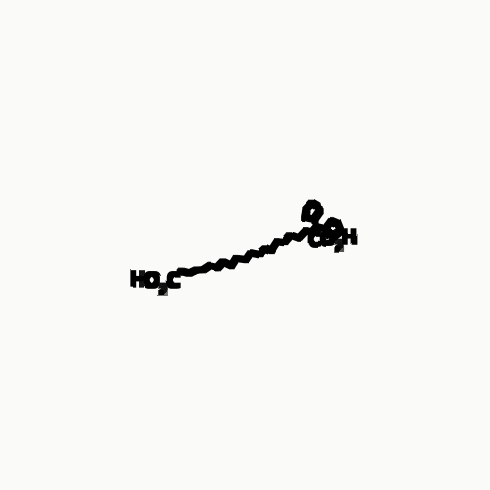 O=C(O)CCCCCCCCCCCCCCCCCCCC(C(=O)O)C(c1ccccc1)c1ccccc1